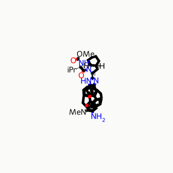 CNc1cc(-c2cc3ccc2CCc2ccc(c(-c4ccc5[nH]c([C@@H]6C[C@@H]7CCCC[C@@H]7N6C(=O)[C@@H](NC(=O)OC)C(C)C)nc5c4)c2)CC3)ccc1N